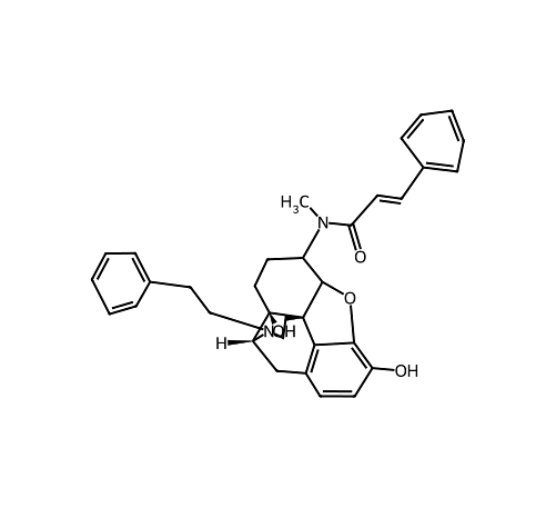 CN(C(=O)/C=C/c1ccccc1)C1CC[C@@]2(O)[C@H]3Cc4ccc(O)c5c4[C@@]2(CCN3CCc2ccccc2)C1O5